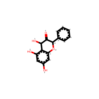 O=C1C(O)c2c(O)cc(O)cc2OC1c1ccccc1